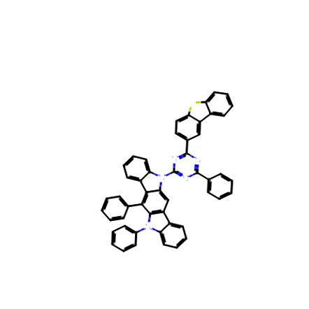 c1ccc(-c2nc(-c3ccc4sc5ccccc5c4c3)nc(-n3c4ccccc4c4c(-c5ccccc5)c5c(cc43)c3ccccc3n5-c3ccccc3)n2)cc1